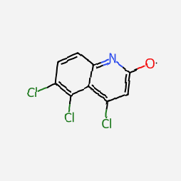 [O]c1cc(Cl)c2c(Cl)c(Cl)ccc2n1